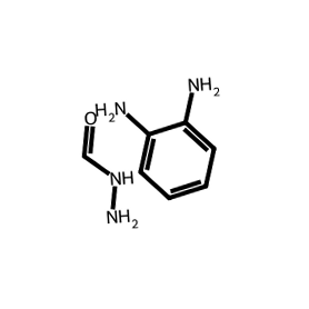 NNC=O.Nc1ccccc1N